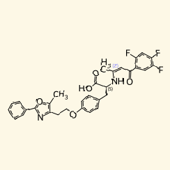 C/C(=C/C(=O)c1cc(F)c(F)cc1F)N[C@@H](Cc1ccc(OCCc2nc(-c3ccccc3)oc2C)cc1)C(=O)O